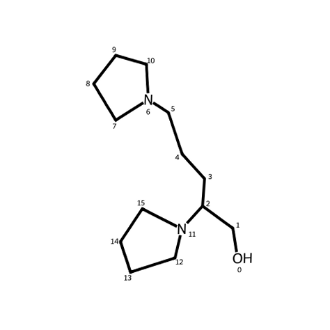 OCC(CCCN1CCCC1)N1CCCC1